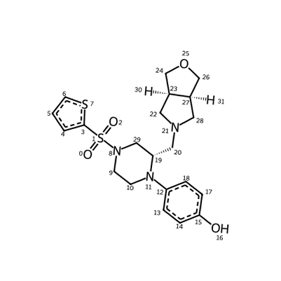 O=S(=O)(c1cccs1)N1CCN(c2ccc(O)cc2)[C@@H](CN2C[C@H]3COC[C@H]3C2)C1